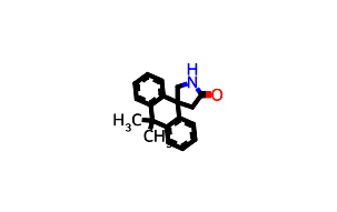 CC1(C)c2ccccc2C2(CNC(=O)C2)c2ccccc21